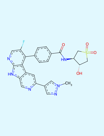 Cn1cc(-c2cc3c(cn2)[nH]c2ncc(F)c(-c4ccc(C(=O)N[C@H]5CS(=O)(=O)C[C@@H]5O)cc4)c23)cn1